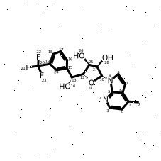 Cc1ccnc2c1ccn2[C@@H]1O[C@H]([C@H](O)c2cccc(C(F)(F)F)c2)[C@@H](O)[C@H]1O